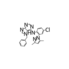 Cc1cc(C)n(-c2cc(Cl)ccc2Nc2ncnc3ncn(Cc4ccccc4)c23)n1